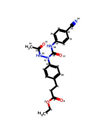 CCOC(=O)CCc1ccc(N(NC(C)=O)C(=O)Nc2ccc(C#N)cc2)cc1